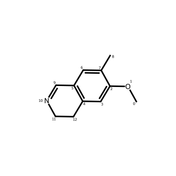 COc1cc2c(cc1C)C=NCC2